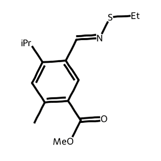 CCSN=Cc1cc(C(=O)OC)c(C)cc1C(C)C